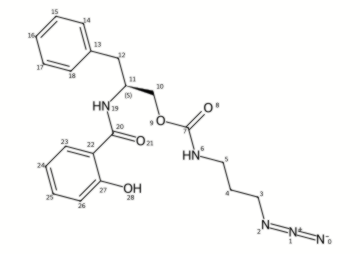 [N-]=[N+]=NCCCNC(=O)OC[C@H](Cc1ccccc1)NC(=O)c1ccccc1O